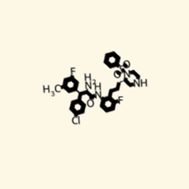 Cc1cc(F)cc([C@H](c2ccc(Cl)cc2)[C@H](N)C(=O)Nc2cccc(F)c2CCC[C@H]2CNCCN2S(=O)(=O)c2ccccc2)c1